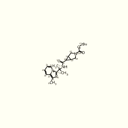 Cc1nc(C(C)(C)NC(=O)C2C3CN(C(=O)OC(C)(C)C)CC32)n2ccccc12